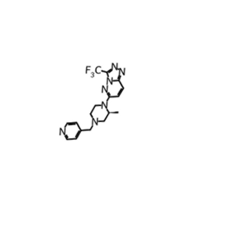 C[C@H]1CN(Cc2ccncc2)CCN1c1ccc2nnc(C(F)(F)F)n2n1